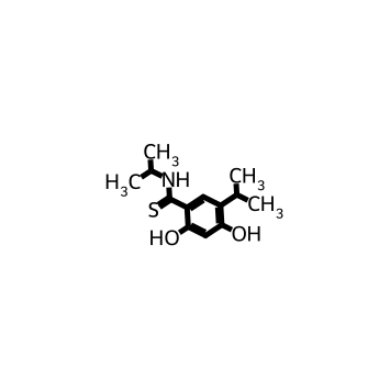 CC(C)NC(=S)c1cc(C(C)C)c(O)cc1O